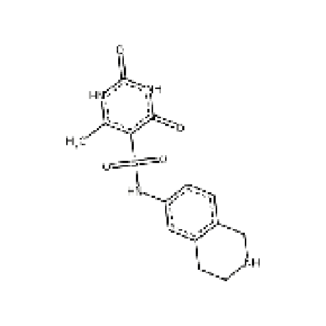 Cc1[nH]c(=O)[nH]c(=O)c1S(=O)(=O)Nc1ccc2c(c1)CCNC2